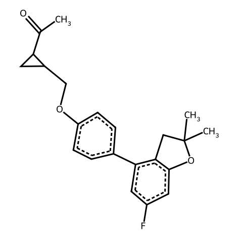 CC(=O)C1CC1COc1ccc(-c2cc(F)cc3c2CC(C)(C)O3)cc1